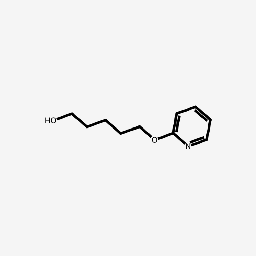 OCCCCCOc1ccccn1